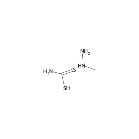 CNN.NC(=S)S